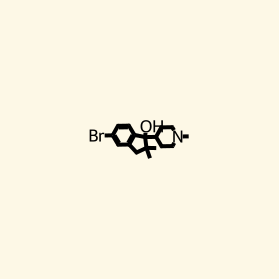 CN1CCC(C2(O)c3ccc(Br)cc3CC2(C)C)CC1